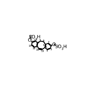 O=S(=O)(O)Oc1ccc2c(c1)CCc1cc(OS(=O)(=O)O)ccc1C#C2